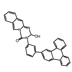 O=C1N2C=c3ccccc3=CC2=NC(O)N1c1cccc(-c2ccc3c4ccccc4c4ccccc4c3c2)c1